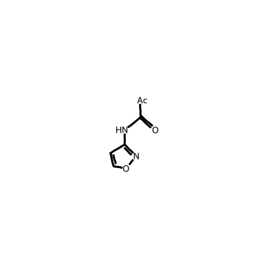 CC(=O)C(=O)Nc1ccon1